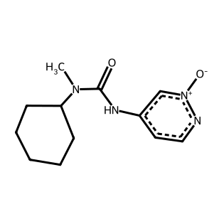 CN(C(=O)Nc1ccn[n+]([O-])c1)C1CCCCC1